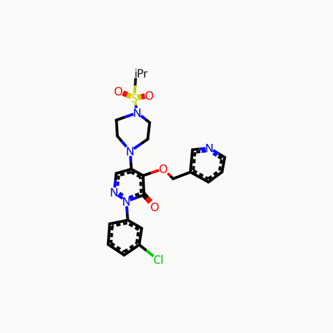 CC(C)S(=O)(=O)N1CCN(c2cnn(-c3cccc(Cl)c3)c(=O)c2OCc2cccnc2)CC1